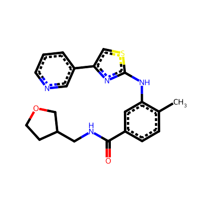 Cc1ccc(C(=O)NCC2CCOC2)cc1Nc1nc(-c2cccnc2)cs1